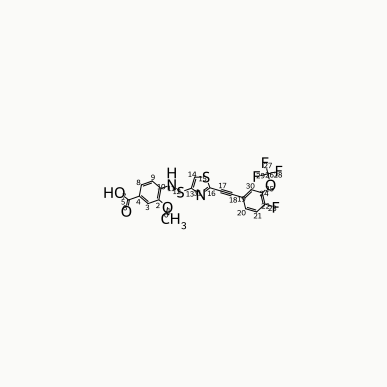 COc1cc(C(=O)O)ccc1NSc1csc(C#Cc2ccc(F)c(OC(F)(F)F)c2)n1